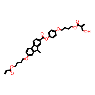 C=CC(=O)OCCCCOc1ccc2c(c1)C(C)c1cc(C(=O)Oc3ccc(OCCCCOC(=O)C(=C)CO)cc3)ccc1-2